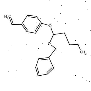 C=Cc1ccc(OC(CCCC)OCc2ccccc2)cc1